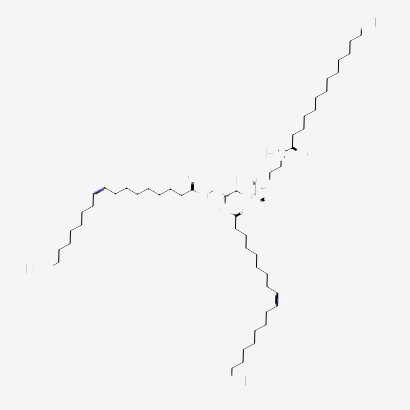 CCCCCCCC/C=C\CCCCCCCC(=O)OC[C@H](COP(=O)(O)OCCNC(=O)CCCCCCCCCCCCC)OC(=O)CCCCCCC/C=C\CCCCCCCC